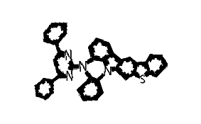 c1ccc(-c2cc(-c3ccccc3)nc(N3c4ccccc4-n4c5cc6sc7ccccc7c6cc5c5cccc3c54)n2)cc1